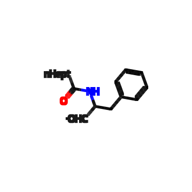 CCCCCCCC(=O)NC([C]=O)Cc1ccccc1